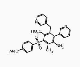 COc1ccc(S(=O)(=O)c2c(C)c(N)c(-c3cccnc3)c(Cc3cccnc3)c2C(=O)O)cc1